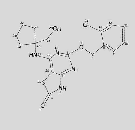 O=c1[nH]c2nc(OCc3ccccc3Cl)nc(NC3(CO)CCCC3)c2s1